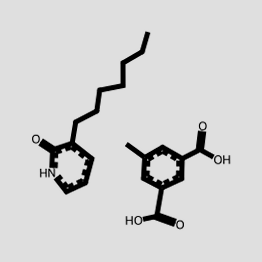 CCCCCCCc1ccc[nH]c1=O.Cc1cc(C(=O)O)cc(C(=O)O)c1